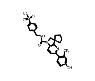 CCS(=O)(=O)c1ccc(CNC(=O)N2CC3(CCCC3)c3nc(-c4ccc(O)cc4C(F)(F)F)ccc32)cc1